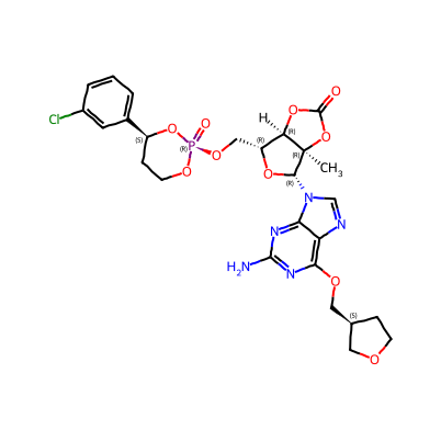 C[C@@]12OC(=O)O[C@@H]1[C@@H](CO[P@@]1(=O)OCC[C@@H](c3cccc(Cl)c3)O1)O[C@H]2n1cnc2c(OC[C@H]3CCOC3)nc(N)nc21